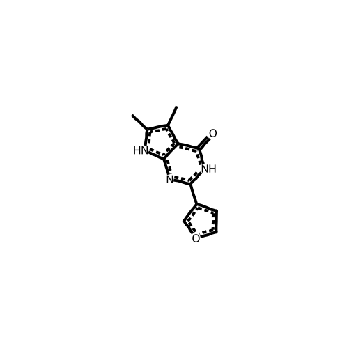 Cc1[nH]c2nc(-c3ccoc3)[nH]c(=O)c2c1C